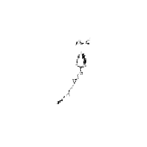 C=CCOCCOCCOc1ccc(C(=O)OC)cc1